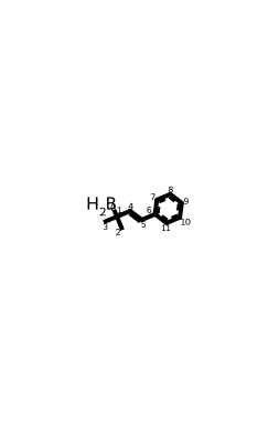 BC(C)(C)/C=C/c1ccccc1